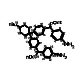 CCCCCCCCC(c1ccc(N)cc1)c1ccc(C2(c3ccc(C(CCCCCCCC)c4ccc(N)cc4)cc3)CCC(CCCC)CC2)cc1